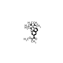 CON(C)C(=O)c1cnc2c(ccn2[Si](C(C)C)(C(C)C)C(C)C)c1